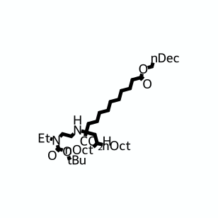 CCCCCCCCCCCOC(=O)CCCCCCCCCC(CC(CCCCCCCC)CCCCCCCC)(NCCN(CC)C(=O)OC(C)(C)C)C(=O)O